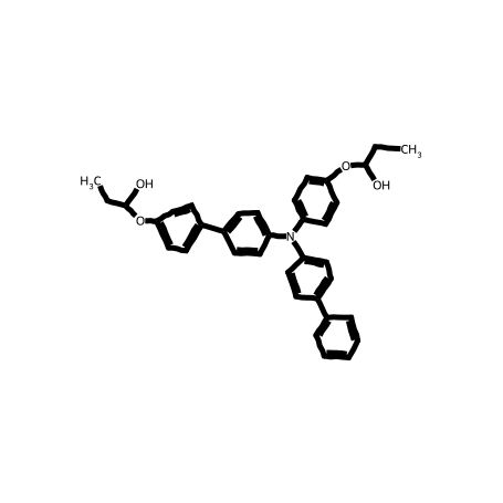 CCC(O)Oc1ccc(-c2ccc(N(c3ccc(OC(O)CC)cc3)c3ccc(-c4ccccc4)cc3)cc2)cc1